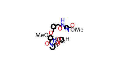 COC(=O)c1cc(NC(=O)Cc2cccc(COc3cc4c(cc3OC)C(=O)N3CCCC[C@H]3C(OC3CCCCO3)N4C(=O)O)c2)cn1C